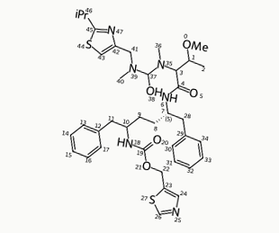 COC(C)C(C(=O)N[C@@H](CCC(Cc1ccccc1)NC(=O)OCc1cncs1)Cc1ccccc1)N(C)C(O)N(C)Cc1csc(C(C)C)n1